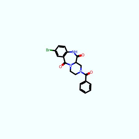 O=C1Nc2ccc(Br)cc2C(=O)N2CCN(C(=O)c3ccccc3)CC12